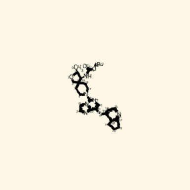 C[C@@H]1OCC2(CCN(c3ncc(Sc4ccnc5c4CCC5)c4nccn34)CC2)[C@@H]1NC(=O)OC(C)(C)C